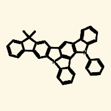 CC1(C)c2ccccc2-c2cc3c(cc21)c1cc2c4ccccc4n(-c4ccccc4)c2c2c4ccccc4n3c12